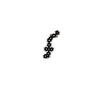 CC1(C)c2ccccc2-c2cc(-c3c4ccccc4c(-c4ccc(-c5ccc6cc7sc8cc9c(cc8c7cc6c5)sc5ccccc59)cc4)c4ccccc34)ccc21